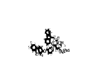 COc1cc(F)c(F)cc1-c1ccc(OCC2CCCN(C(=O)C(CC(=O)OC(C)(C)C)N(C)C(=O)OCC3c4ccccc4-c4ccccc43)C2)cc1